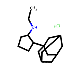 CCNC1CCCC1C12CC3CC(CC(C3)C1)C2.Cl